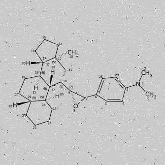 CN(C)c1ccc(C2O[C@@H]2[C@H]2C[C@]3(C)CCC[C@H]3[C@@H]3CC[C@H]4CCCC[C@@H]4[C@H]32)cc1